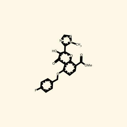 COC(=O)c1ccc(OCc2ccc(F)cc2)c2c(=O)c(O)c(-c3ncnn3C)oc12